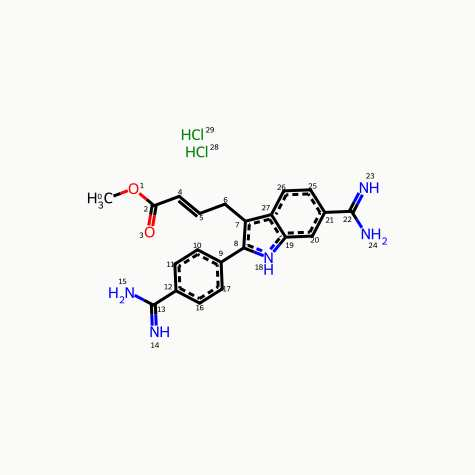 COC(=O)C=CCc1c(-c2ccc(C(=N)N)cc2)[nH]c2cc(C(=N)N)ccc12.Cl.Cl